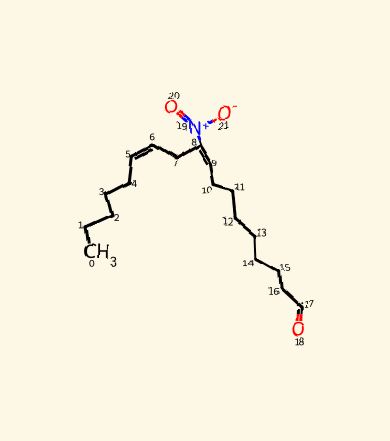 CCCCC/C=C\C/C(=C\CCCCCCC[C]=O)[N+](=O)[O-]